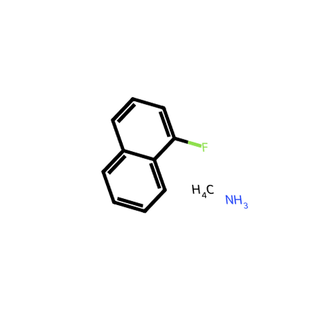 C.Fc1cccc2ccccc12.N